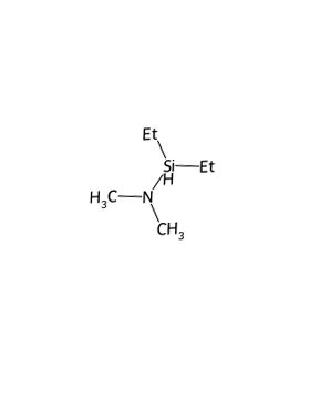 CC[SiH](CC)N(C)C